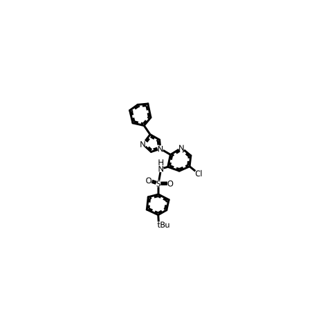 CC(C)(C)c1ccc(S(=O)(=O)Nc2cc(Cl)cnc2-n2cnc(-c3ccccc3)c2)cc1